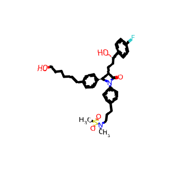 CN(CCCc1ccc(N2C(=O)C(CC[C@H](O)c3ccc(F)cc3)[C@H]2c2ccc(CCCCCCO)cc2)cc1)S(C)(=O)=O